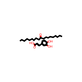 CCCCCCCCCC(=O)CCCCCCCCC.O=C(O)C=Cc1ccc(O)c(O)c1